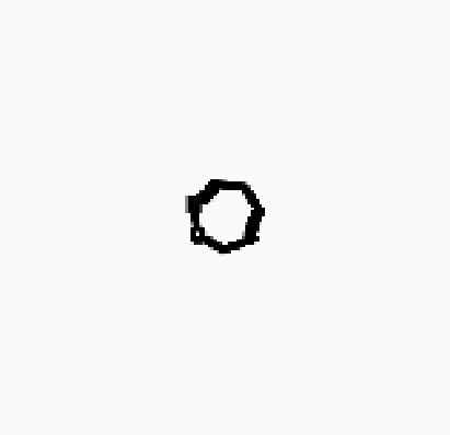 [C]1=CCC=NOC1